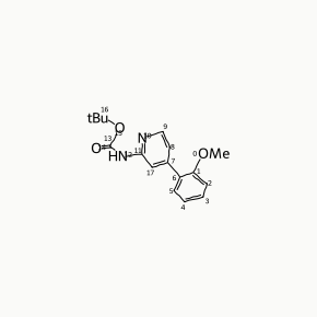 COc1ccccc1-c1ccnc(NC(=O)OC(C)(C)C)c1